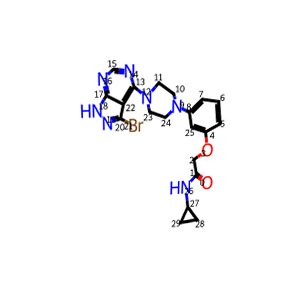 O=C(COc1cccc(N2CCN(c3ncnc4[nH]nc(Br)c34)CC2)c1)NC1CC1